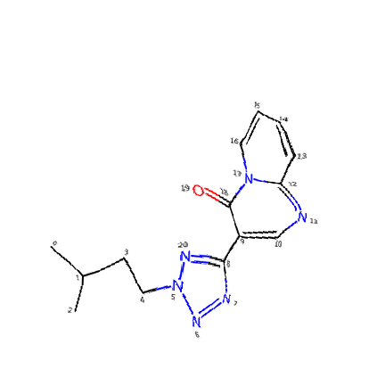 CC(C)CCn1nnc(-c2cnc3ccccn3c2=O)n1